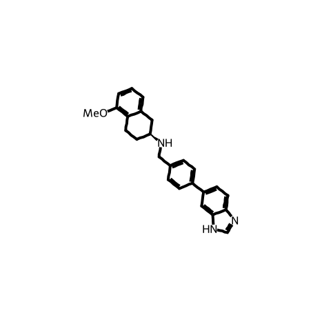 COc1cccc2c1CC[C@H](NCc1ccc(-c3ccc4nc[nH]c4c3)cc1)C2